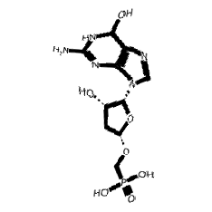 NC1=Nc2c(ncn2[C@@H]2O[C@H](OCP(=O)(O)O)C[C@@H]2O)C(O)N1